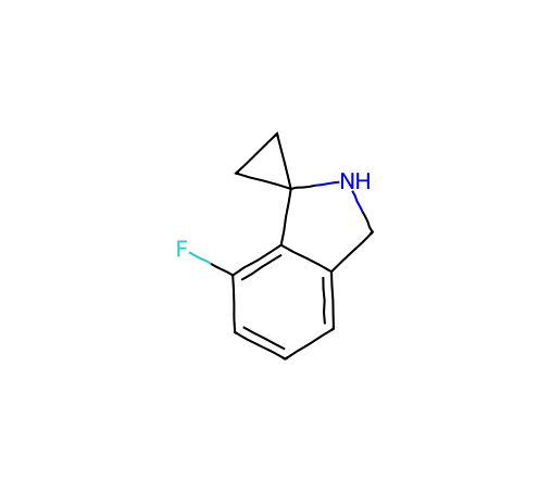 Fc1cccc2c1C1(CC1)NC2